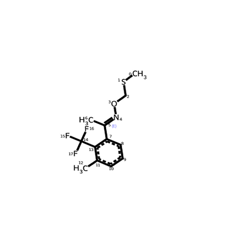 CSCO/N=C(\C)c1cccc(C)c1C(F)(F)F